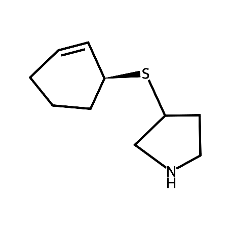 C1=C[C@@H](SC2CCNC2)CCC1